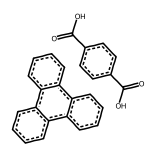 O=C(O)c1ccc(C(=O)O)cc1.c1ccc2c(c1)c1ccccc1c1ccccc21